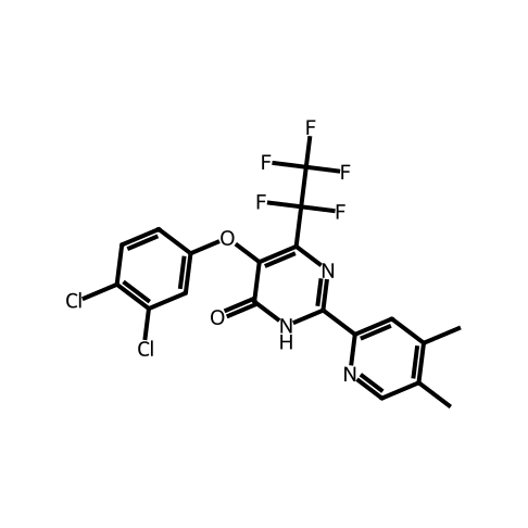 Cc1cnc(-c2nc(C(F)(F)C(F)(F)F)c(Oc3ccc(Cl)c(Cl)c3)c(=O)[nH]2)cc1C